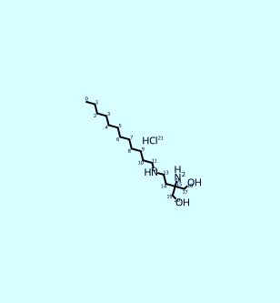 CCCCCCCCCCCCNCCC(N)(CO)CO.Cl